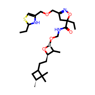 CCC1NC(COCC2=NOC(CC)(C(=O)NCOB3O[C@H](CCC4C[C@@H](C)C4(C)C)C3C)C2)=CS1